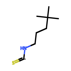 CC(C)(C)CCCN[C]=S